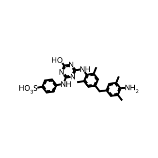 Cc1cc(Cc2cc(C)c(Nc3nc(O)nc(Nc4ccc(S(=O)(=O)O)cc4)n3)c(C)c2)cc(C)c1N